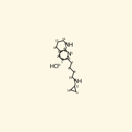 Cl.c1cc2c(nc1CCCCNC1CC1)NCCC2